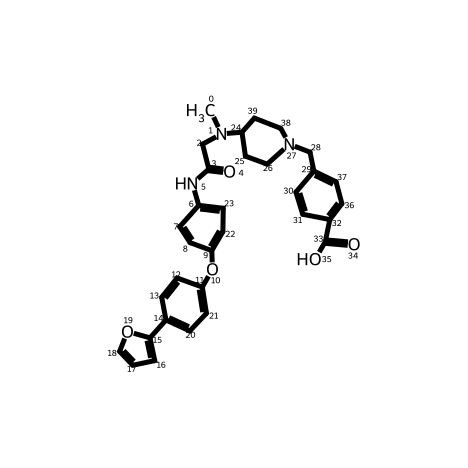 CN(CC(=O)Nc1ccc(Oc2ccc(-c3ccco3)cc2)cc1)C1CCN(Cc2ccc(C(=O)O)cc2)CC1